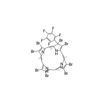 Fc1c(F)c(F)c(C2(Br)C(Br)=C3/C=c4\[nH]/c(c(Br)c4Br)=C\c4[nH]c(c(Br)c4Br)/C=C4N=C(/C=C/2N3)C(Br)=C\4Br)c(F)c1F